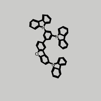 c1ccc2c(c1)c1ccccc1n2-c1cc(-c2ccc3oc4ccc(-n5c6ccccc6c6ccccc65)cc4c3c2)cc(-n2c3ccccc3c3ccccc32)c1